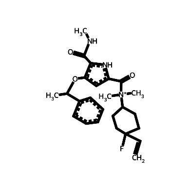 C=CC1(F)CCC([N+](C)(C)C(=O)c2cc(OC(C)c3ccccc3)c(C(=O)NC)[nH]2)CC1